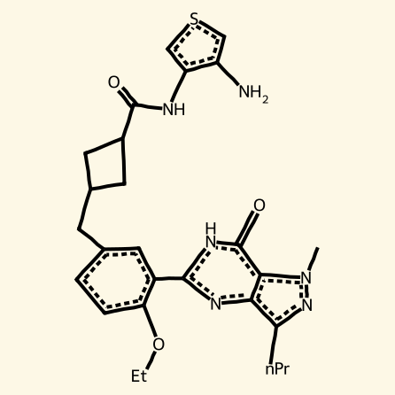 CCCc1nn(C)c2c(=O)[nH]c(-c3cc(CC4CC(C(=O)Nc5cscc5N)C4)ccc3OCC)nc12